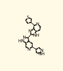 c1cc2[nH]c(-c3n[nH]c4cnc(-c5cn[nH]c5)cc34)nc2c(-c2ccsc2)n1